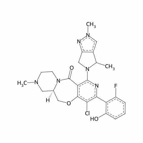 CC1c2cn(C)nc2CN1c1nc(-c2c(O)cccc2F)c(Cl)c2c1C(=O)N1CCN(C)C[C@@H]1CO2